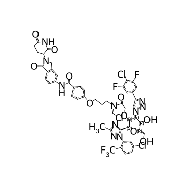 Cc1nc([C@@H]2O[C@H](CO)[C@H](O)[C@H](n3cc(-c4cc(F)c(Cl)c(F)c4)nn3)[C@H]2OCC(=O)N(CCl)CCCOc2ccc(C(=O)Nc3ccc4c(c3)CN(C3CCC(=O)NC3=O)C4=O)cc2)n(-c2cc(Cl)ccc2C(F)(F)F)n1